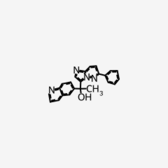 CC(O)(c1ccc2ncccc2c1)c1cnc2ccc(-c3ccccc3)nn12